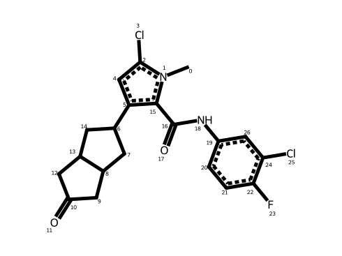 Cn1c(Cl)cc(C2CC3CC(=O)CC3C2)c1C(=O)Nc1ccc(F)c(Cl)c1